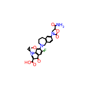 COc1c(N2CCCc3cc(N4CC(C(N)=O)OC4=O)ccc3C2)c(F)cc2c(=O)c(C(=O)O)cn(C3CC3)c12